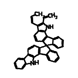 C=Cc1[nH]c2c3c(ccc2c1/C=C\C)C1(c2ccccc2-3)c2ccccc2-c2c1ccc1c2[nH]c2ccccc21